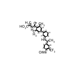 COc1ccc(C(C)Nc2cccc(-c3cc(C)c(C(=O)NC(C)C(=O)O)c(C)c3)c2)cc1C(F)(F)F